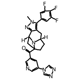 Cn1nc2c(c1-c1cc(F)c(F)c(F)c1)C[C@@H]1CCC3(C(=O)c4cncc(-n5cnnc5)c4)C[C@H]2N13